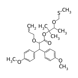 C=CCO[C](C(=O)OC(C)(C)C(C)OCSC)C(c1ccc(OC)cc1)c1ccc(OC)cc1